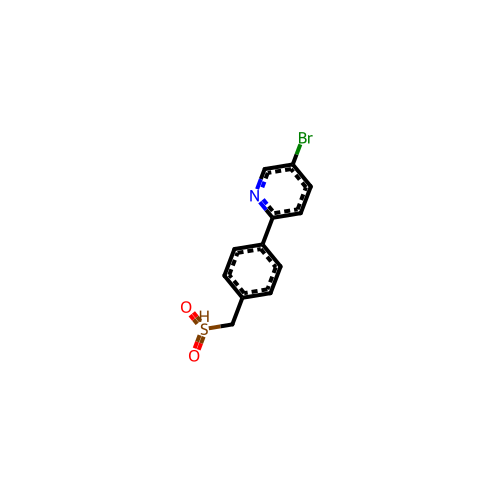 O=[SH](=O)Cc1ccc(-c2ccc(Br)cn2)cc1